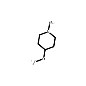 CC(C)(C)N1CCC(OC(F)(F)F)CC1